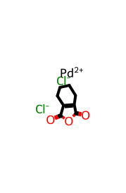 O=C1OC(=O)C2=C1CCCC2.[Cl-].[Cl-].[Pd+2]